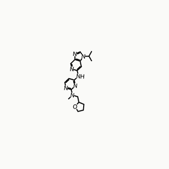 CC(C)n1cnc2cnc(Nc3ccnc(N(C)CC4CCCO4)n3)cc21